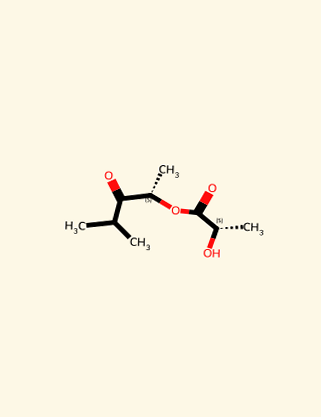 CC(C)C(=O)[C@H](C)OC(=O)[C@H](C)O